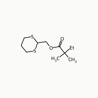 CCC(C)(C)C(=O)OCC1SCCCS1